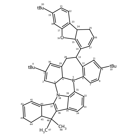 CC(C)(C)C1=CC2C3B(c4ccc(C(C)(C)C)cc4C(C4=C5Oc6cc(C(C)(C)C)ccc6C5CC=C4)CC3=C1)c1cccc3c4c(n2c13)C1=CC=CCC1C4(C)C